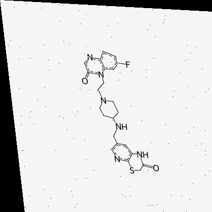 O=C1CSc2ncc(CNC3CCN(CCn4c(=O)cnc5ccc(F)cc54)CC3)cc2N1